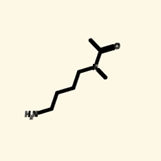 CC(=O)N(C)CCCCN